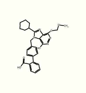 COCOc1nnc(O)c2c1nc(C1CCCCC1)n2Cc1ccc(-c2ccccc2C(=O)O)cc1